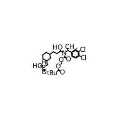 C[C@H](c1ccc(Cl)c(Cl)c1)N(C(=O)OCOC(=O)C(C)(C)C)C(O)CCC1CCCC(C[PH](=O)O)C1